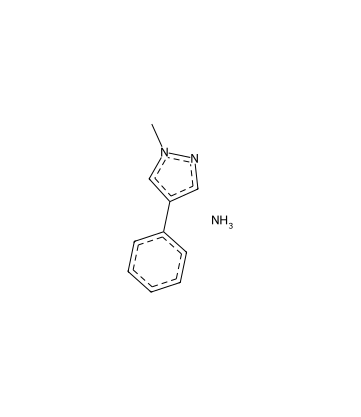 Cn1cc(-c2ccccc2)cn1.N